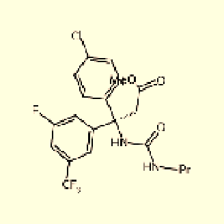 COC(=O)C[C@](NC(=O)NC(C)C)(c1cc(F)cc(C(F)(F)F)c1)c1ccc(Cl)cn1